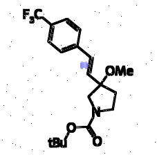 COC1(/C=C/c2ccc(C(F)(F)F)cc2)CCN(C(=O)OC(C)(C)C)C1